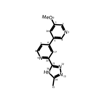 COc1cncc(-c2ccnc(-c3nnc(C)[nH]3)c2)c1